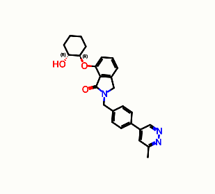 Cc1cc(-c2ccc(CN3Cc4cccc(O[C@@H]5CCCC[C@H]5O)c4C3=O)cc2)cnn1